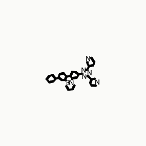 C1=CB2c3cc(-c4ccccc4)ccc3-c3ccc(-c4nc(-c5cccnc5)nc(-c5cccnc5)n4)cc3N2C=C1